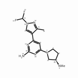 CN[C@@H]1CCN(c2cc(-c3cn(C(F)F)nc3C)nc(N)n2)C1